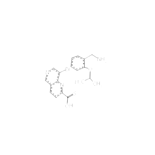 CC(C)Oc1ccccc1CN.OC(=S)c1ccc2cncc(Br)c2n1